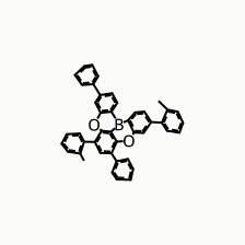 Cc1ccccc1-c1ccc2c(c1)Oc1c(-c3ccccc3)cc(-c3ccccc3C)c3c1B2c1ccc(-c2ccccc2)cc1O3